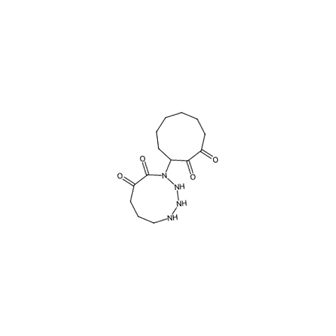 O=C1CCCCCCC(N2NNNCCCC(=O)C2=O)C1=O